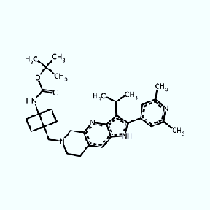 Cc1cc(-c2[nH]c3cc4c(nc3c2C(C)C)CN(CC23CCC2(NC(=O)OC(C)(C)C)CC3)CC4)cc(C)n1